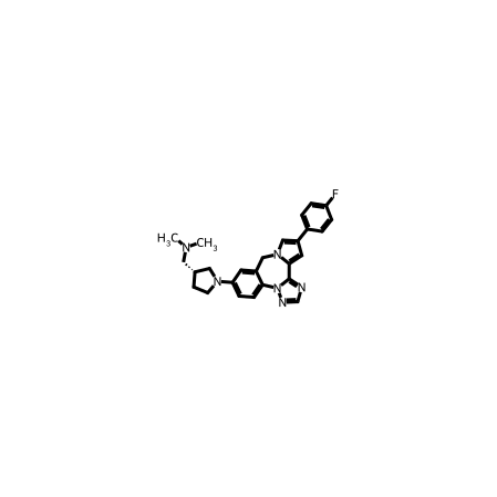 CN(C)C[C@H]1CCN(c2ccc3c(c2)Cn2cc(-c4ccc(F)cc4)cc2-c2ncnn2-3)C1